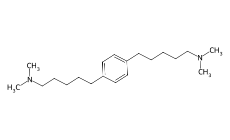 CN(C)CCCCCc1ccc(CCCCCN(C)C)cc1